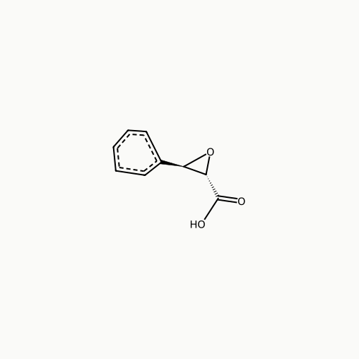 O=C(O)[C@H]1O[C@@H]1c1ccccc1